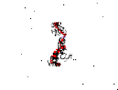 Cc1c(-c2ccc(-c3ccc4cccc(C(=O)Nc5nc6ccccc6s5)c4c3)nc2C(=O)O)cnn1CC12CC3(C)CC(C)(C1)CC(OCCN(C)C(=O)OC/C=C/c1cc[c]c(NC(=O)CCNC(=O)CCCCCN4C(=O)C=CC4=O)c1)(C3)C2